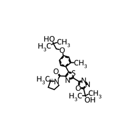 Cc1cc(OCC(C)(C)O)ccc1-c1sc(-c2nnc(C(C)(C)O)o2)nc1C(=O)N1CCC[C@@H]1C